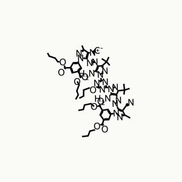 [C-]#[N+]c1c(C)nn(-c2cc(C(=O)OCCCC)cc(C(=O)OCCCC)c2)c1N=Nc1c(C(C)(C)C)nn(-c2nc(OCCCC)nc(-n3nc(C(C)(C)C)c(N=Nc4c(C#N)c(C)nn4-c4cc(C(=O)OCCCC)cc(C(=O)OCCCC)c4)c3N)n2)c1N